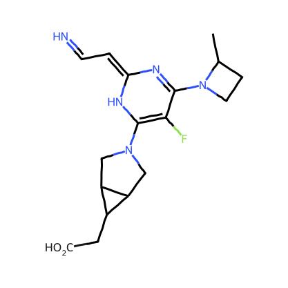 CC1CCN1C1=N/C(=C/C=N)NC(N2CC3C(CC(=O)O)C3C2)=C1F